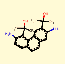 Nc1cc2ccc3ccc(N)c(C(O)(C(F)(F)F)C(F)(F)F)c3c2cc1C(O)(C(F)(F)F)C(F)(F)F